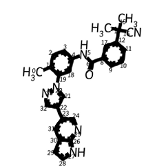 Cc1ccc(NC(=O)c2cccc(C(C)(C)C#N)c2)cc1-n1cc(-c2cnc3[nH]ccc3c2)cn1